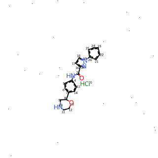 Cl.O=C(Nc1ccc(C2CNCCO2)cc1)c1ccn(-c2ccccc2)n1